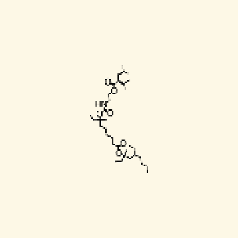 CCCCC(CC)CC(C)(CC)OC(=O)CCCCCC(C)(CC)OC(=O)NCCOC(=O)C(C=C(C)C)=C(C)C